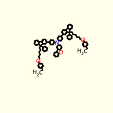 C=Cc1ccc(OCCCCCCC2(c3ccccc3)c3ccccc3-c3ccc(-c4ccc(N(c5ccc(-c6ccc7c(c6)C(CCCCCCOc6ccc(C=C)cc6)(c6ccccc6)c6ccccc6-7)cc5)c5ccc6oc7ccccc7c6c5)cc4)cc32)cc1